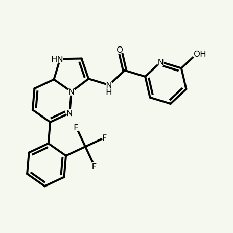 O=C(NC1=CNC2C=CC(c3ccccc3C(F)(F)F)=NN12)c1cccc(O)n1